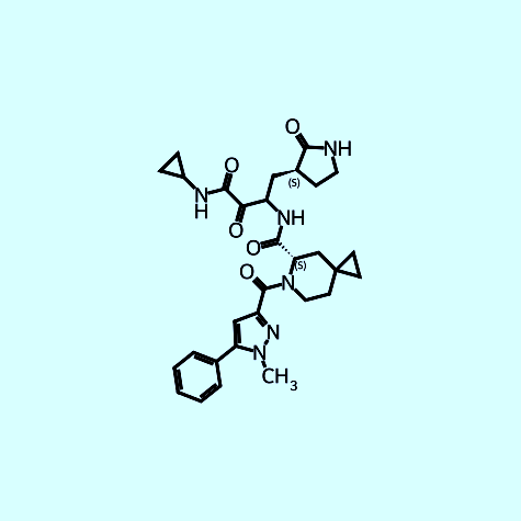 Cn1nc(C(=O)N2CCC3(CC3)C[C@H]2C(=O)NC(C[C@@H]2CCNC2=O)C(=O)C(=O)NC2CC2)cc1-c1ccccc1